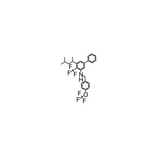 CC(C)CC(C)c1cc(-c2ccccc2)cc(NCc2ccc(OC(F)(F)F)cc2)c1C(F)(F)F